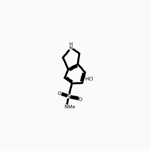 CNS(=O)(=O)c1ccc2c(c1)CNC2.Cl